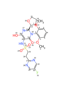 COc1cccc(OC)c1-n1c([C@@H]2CCCO2)nc(O)c(NS(=O)(=O)CCc2ncc(F)cn2)c1=O